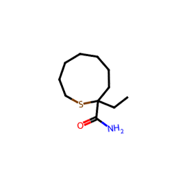 CCC1(C(N)=O)CCCCCCCS1